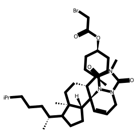 CC(C)CCC[C@@H](C)C1CC[C@H]2[C@@]3(C=CCn4c(=O)n(C)c(=O)n43)[C@@H]([C@]3(C)CC[C@@H](OC(=O)CBr)CC3)CC[C@]12C